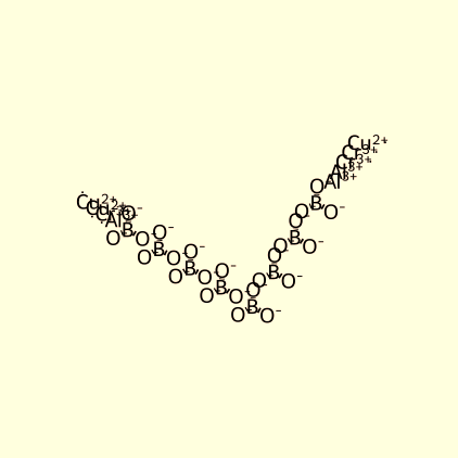 [Al+3].[Al+3].[Al+3].[Cr+3].[Cr+3].[Cr+3].[Cu+2].[Cu+2].[Cu+2].[O-]B([O-])[O-].[O-]B([O-])[O-].[O-]B([O-])[O-].[O-]B([O-])[O-].[O-]B([O-])[O-].[O-]B([O-])[O-].[O-]B([O-])[O-].[O-]B([O-])[O-]